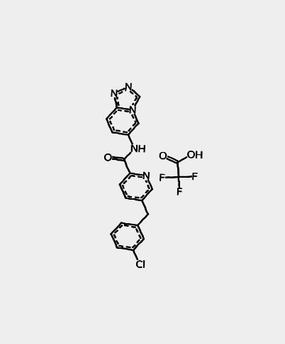 O=C(Nc1ccc2nncn2c1)c1ccc(Cc2cccc(Cl)c2)cn1.O=C(O)C(F)(F)F